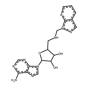 Nc1ncnc2c1ncn2C1OC(CNCn2ncc3cccnc32)C(O)C1O